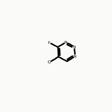 Fc1nnncc1Cl